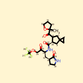 CC1(C(=O)C2CC3(CC3)C[C@H]2C(=O)N[C@@H](C[C@@H]2CCNC2=O)C(=O)COC(F)(F)F)CCCO1